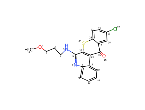 COCCCNc1nc2ccccc2c2c(=O)c3cc(Cl)ccc3sc12